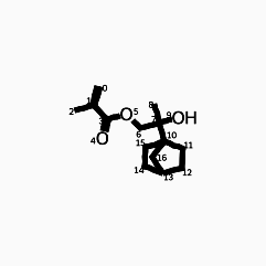 C=C(C)C(=O)OCC(C)(O)C12CCC(CC1)C2